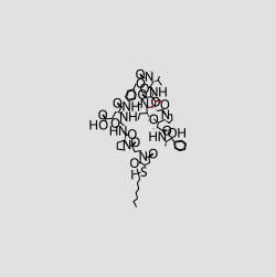 CCCCCCCC(C)(I)SC1CC(=O)N(CCC(=O)N2CCC[C@H]2C(=O)NCC(=O)N[C@@H](CCC(=O)O)C(=O)Nc2ccc(COC(=O)N(C)[C@H](C(=O)N[C@H](C(=O)N(C)[C@@H]([C@@H](C)CC)[C@@H](CC(=O)N3CCC[C@H]3[C@H](OC)[C@@H](C)C(=O)N[C@H](C)[C@@H](O)c3ccccc3)OC)C(C)C)C(C)C)cc2)C1=O